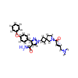 CN(C)C/C=C/C(=O)N1CC[C@]2(C1)C[C@H](n1cc(C(N)=O)c(-c3ccc(Oc4ccccc4)cc3)n1)C2